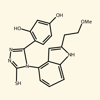 COCCc1cc2c(-n3c(S)nnc3-c3ccc(O)cc3O)cccc2[nH]1